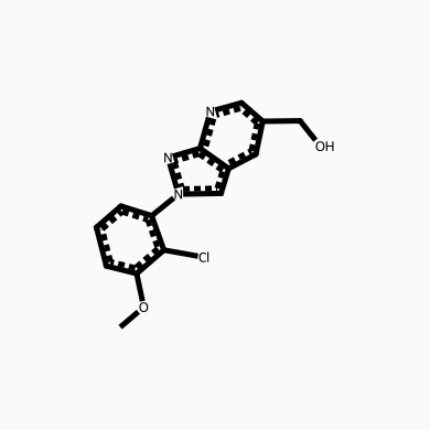 COc1cccc(-n2cc3cc(CO)cnc3n2)c1Cl